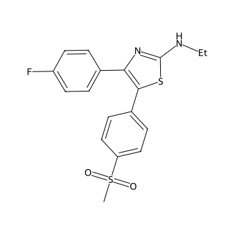 CCNc1nc(-c2ccc(F)cc2)c(-c2ccc(S(C)(=O)=O)cc2)s1